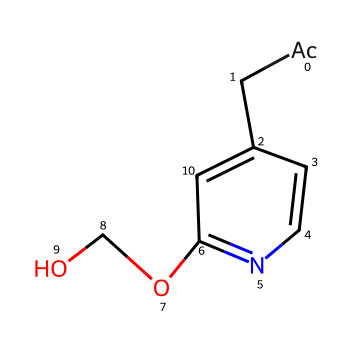 CC(=O)Cc1ccnc(OCO)c1